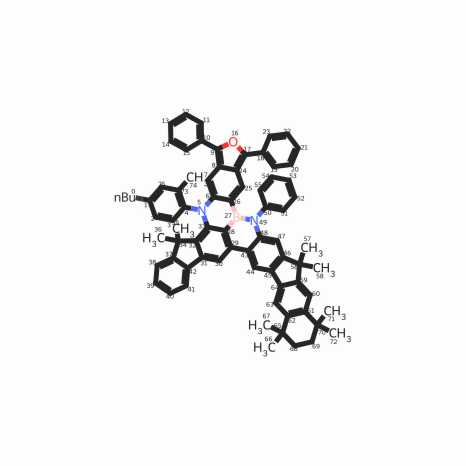 CCCCc1ccc(N2c3cc4c(-c5ccccc5)oc(-c5ccccc5)c4cc3B3c4c(cc5c(c42)C(C)(C)c2ccccc2-5)-c2cc4c(cc2N3c2ccccc2)C(C)(C)c2cc3c(cc2-4)C(C)(C)CCC3(C)C)c(C)c1